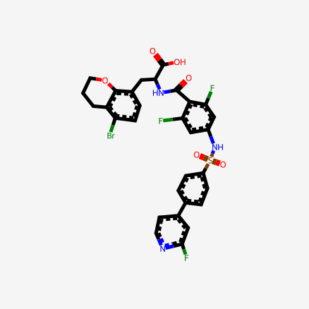 O=C(NC(Cc1ccc(Br)c2c1OCCC2)C(=O)O)c1c(F)cc(NS(=O)(=O)c2ccc(-c3ccnc(F)c3)cc2)cc1F